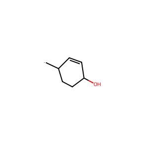 [CH2]C1C=CC(O)CC1